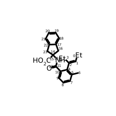 CC/C=C(\CC)c1c(C)cccc1C(=O)NC1(C(=O)O)Cc2ccccc2C1